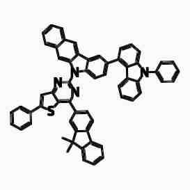 CC1(C)c2ccccc2-c2ccc(-c3nc(-n4c5ccc(-c6cccc7c6c6ccccc6n7-c6ccccc6)cc5c5cc6ccccc6cc54)nc4cc(-c5ccccc5)sc34)cc21